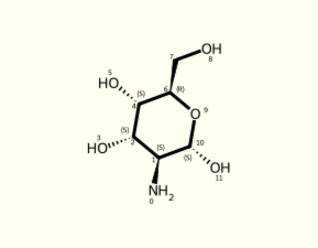 N[C@H]1[C@H](O)[C@H](O)[C@@H](CO)O[C@@H]1O